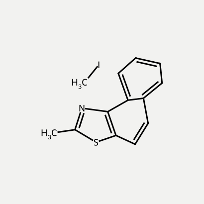 CI.Cc1nc2c(ccc3ccccc32)s1